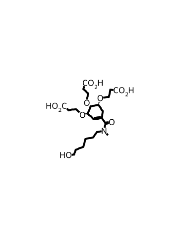 CN(CCCCCCO)C(=O)C1=C[C@@H](OCCC(=O)O)[C@@H](OCCC(=O)O)[C@H](OCCC(=O)O)C1